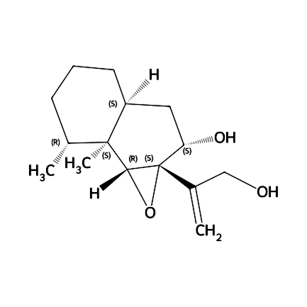 C=C(CO)[C@@]12O[C@@H]1[C@]1(C)[C@@H](CCC[C@H]1C)C[C@@H]2O